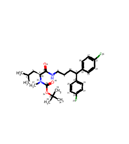 CC(C)C[C@@H](C(=O)NCCCC(c1ccc(F)cc1)c1ccc(F)cc1)N(C)C(=O)OC(C)(C)C